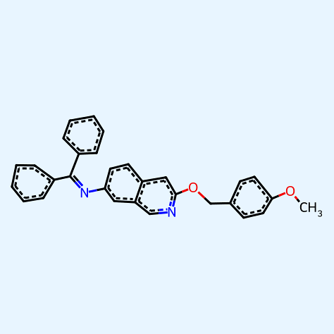 COc1ccc(COc2cc3ccc(N=C(c4ccccc4)c4ccccc4)cc3cn2)cc1